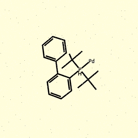 CC(C)(C)[PH]([Pd])(c1ccccc1-c1ccccc1)C(C)(C)C